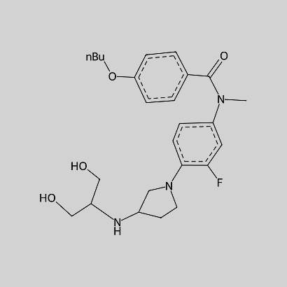 CCCCOc1ccc(C(=O)N(C)c2ccc(N3CCC(NC(CO)CO)C3)c(F)c2)cc1